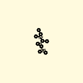 c1ccc(-c2cc(-c3nc(-c4ccccc4)c4cc(-c5ccccc5)ccc4n3)cc(-n3c4ccccc4c4cc(-n5c6ccccc6n6c7ccccc7nc56)ccc43)c2)cc1